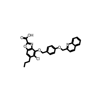 CCCc1cc2oc(C(=O)O)nc2c(OCc2ccc(OCc3ccc4ccccc4n3)cc2)c1Cl